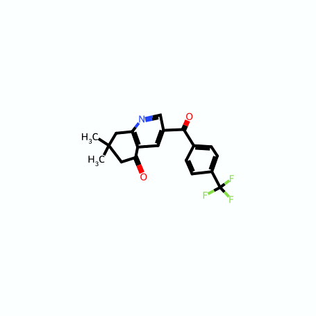 CC1(C)CC(=O)c2cc(C(=O)c3ccc(C(F)(F)F)cc3)cnc2C1